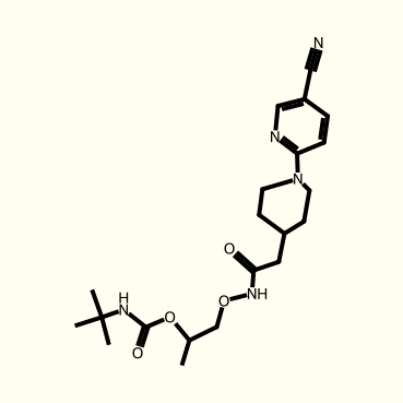 CC(CONC(=O)CC1CCN(c2ccc(C#N)cn2)CC1)OC(=O)NC(C)(C)C